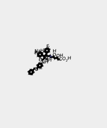 CC(C)n1c(/C=C/[C@@H](O)C[C@@H](O)CC(=O)O)c(-c2ccc(F)cc2)c(-c2ccc(F)cc2)c1C(=O)Nc1ccc(OCc2ccccc2)cc1.[NaH]